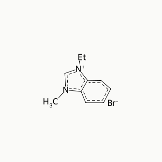 CC[n+]1cn(C)c2ccccc21.[Br-]